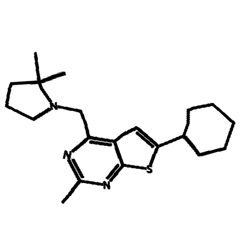 Cc1nc(CN2CCCC2(C)C)c2cc(C3CCCCC3)sc2n1